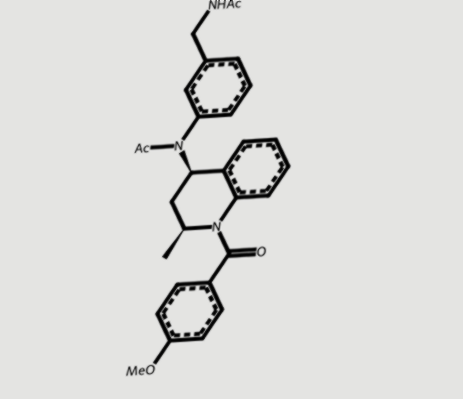 COc1ccc(C(=O)N2c3ccccc3[C@H](N(C(C)=O)c3cccc(CNC(C)=O)c3)C[C@@H]2C)cc1